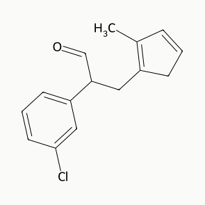 CC1=C(CC(C=O)c2cccc(Cl)c2)CC=C1